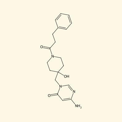 Nc1cc(=O)n(CC2(O)CCN(C(=O)CCc3ccccc3)CC2)cn1